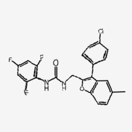 Cc1ccc2oc(CNC(=O)Nc3c(F)cc(F)cc3F)c(-c3ccc(Cl)cc3)c2c1